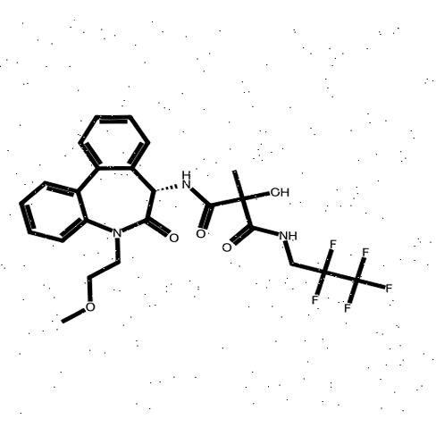 COCCN1C(=O)[C@@H](NC(=O)C(C)(O)C(=O)NCC(F)(F)C(F)(F)F)c2ccccc2-c2ccccc21